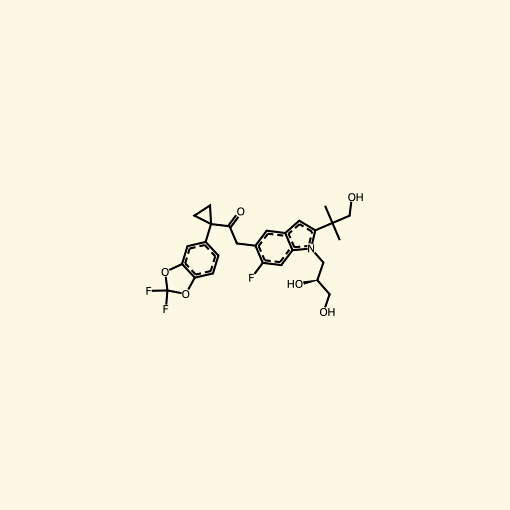 CC(C)(CO)c1cc2cc(CC(=O)C3(c4ccc5c(c4)OC(F)(F)O5)CC3)c(F)cc2n1C[C@H](O)CO